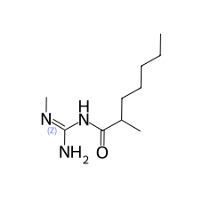 CCCCCC(C)C(=O)N/C(N)=N\C